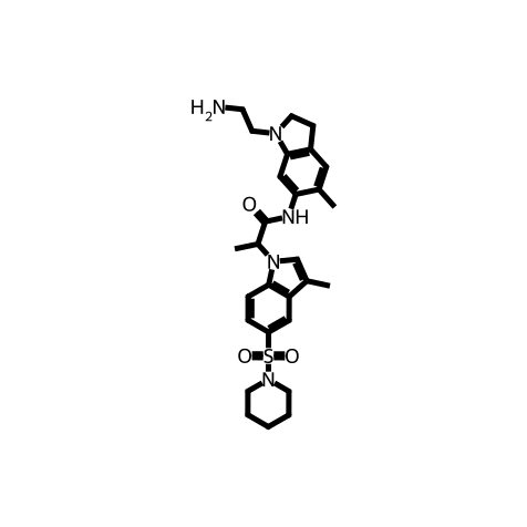 Cc1cc2c(cc1NC(=O)C(C)n1cc(C)c3cc(S(=O)(=O)N4CCCCC4)ccc31)N(CCN)CC2